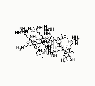 N=C(N)NCCC[C@H](NC(=O)[C@H](CCCNC(=N)N)NC(=O)[C@H](CCC(N)=O)NC(=O)[C@H](CCCNC(=N)N)NC(=O)[C@H](CCCNC(=N)N)NC(=O)[C@H](CCCNC(=N)N)NC(=O)[C@H](CCCCN)NC(=O)[C@H](CCCCN)NC(=O)[C@@H](N)CCCNC(=N)N)C(=O)N[C@@H](CS)C(N)=O